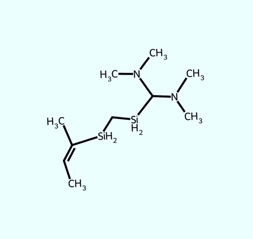 CC=C(C)[SiH2]C[SiH2]C(N(C)C)N(C)C